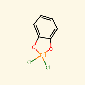 Cl[PH]1(Cl)Oc2ccccc2O1